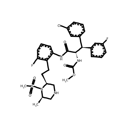 COC(=O)N[C@H](C(=O)Nc1cccc(F)c1CC[C@H]1CNC[C@@H](C)N1S(C)(=O)=O)[C@H](c1cccc(F)c1)c1cccc(Cl)c1